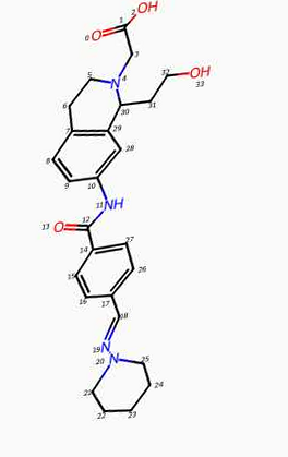 O=C(O)CN1CCc2ccc(NC(=O)c3ccc(C=NN4CCCCC4)cc3)cc2C1CCO